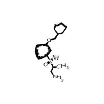 CC(CN)S(=N)(=O)c1cccc(OCC2CCCCC2)c1